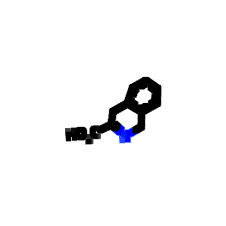 O=C(O)C1=NCc2ccccc2C1